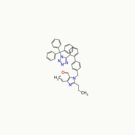 C=Cc1nc(CCC)n(Cc2ccc(-c3ccccc3-c3nnnn3C(c3ccccc3)(c3ccccc3)c3ccccc3)cc2)c1C=O